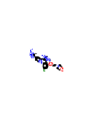 Cc1[nH]nnc1-c1ccnc(-c2ncn(C)c2-c2ccc(F)cc2OCCN2CCOCC2)c1